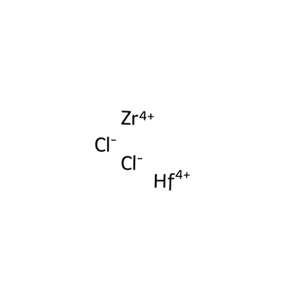 [Cl-].[Cl-].[Hf+4].[Zr+4]